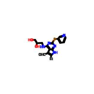 CCc1[nH]c2nc(Sc3cccnc3)nc(NCC(O)CO)c2c1C=O